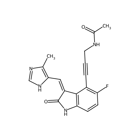 CC(=O)NCC#Cc1c(F)ccc2c1C(=Cc1[nH]cnc1C)C(=O)N2